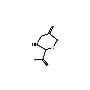 C=C(C)C1NCC(=O)CO1